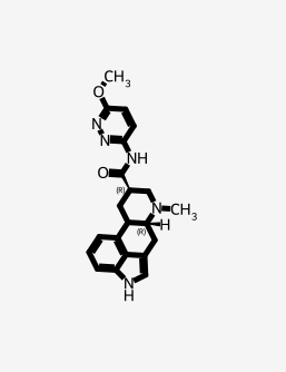 COc1ccc(NC(=O)[C@@H]2CC3c4cccc5[nH]cc(c45)C[C@H]3N(C)C2)nn1